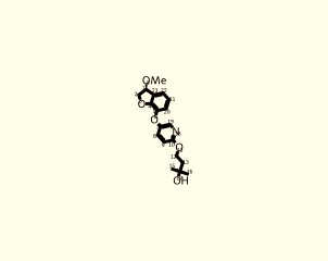 CO[C@@H]1COc2c(Oc3ccc(OCCC(C)(C)O)nc3)cccc21